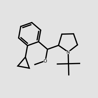 COC(c1ccccc1C1CC1)C1CCCN1C(C)(C)C